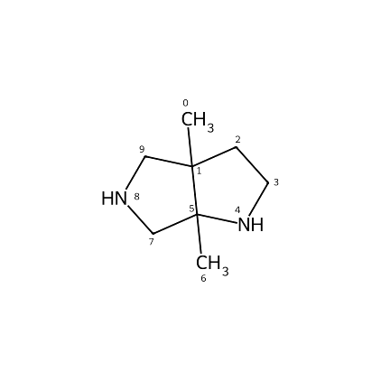 CC12CCNC1(C)CNC2